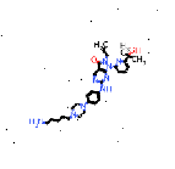 C=CCn1c(=O)c2cnc(Nc3ccc(N4CCN(CCCCCN)CC4)cc3)nc2n1-c1cccc(C(C)(C)O)n1